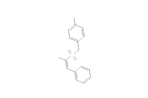 Cc1ccc(CS(=O)(=O)/C(Br)=C\c2ccccc2)cc1